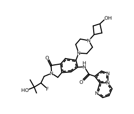 CC(C)(O)C(F)CN1Cc2cc(NC(=O)c3cnn4cccnc34)c(N3CCN(C4CC(O)C4)CC3)cc2C1=O